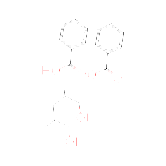 CC(CO)CC(C)CO.O=C(O)c1ccccc1.O=C(O)c1ccccc1